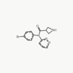 O=C(C1CNC1)N(c1ccc(Br)cc1)c1cccnn1